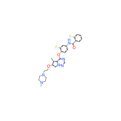 Cc1c(OCCN2CCN(C)CC2)cn2ncnc(Oc3ccc(NC(=O)c4ccccc4F)cc3F)c12